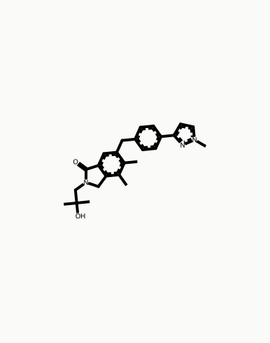 Cc1c(Cc2ccc(-c3ccn(C)n3)cc2)cc2c(c1C)CN(CC(C)(C)O)C2=O